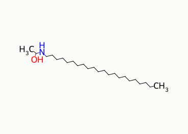 CCCCCCCCCCCCCCCCCCCCCCNC(C)O